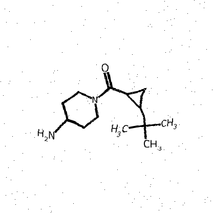 CC(C)(C)C1CC1C(=O)N1CCC(N)CC1